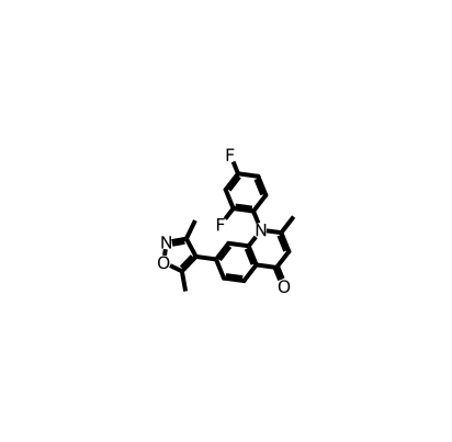 Cc1noc(C)c1-c1ccc2c(=O)cc(C)n(-c3ccc(F)cc3F)c2c1